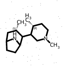 C[C@@H]1CCN(C)CC1C1C2CCC(C[C@@H]1C)N2